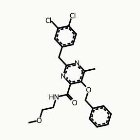 COCCNC(=O)c1nc(Cc2ccc(Cl)c(Cl)c2)nc(C)c1OCc1ccccc1